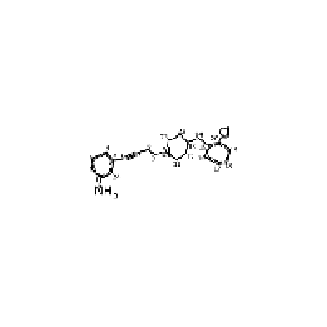 Nc1cccc(C#CCCN2CCC(Cc3ccccc3Cl)CC2)c1